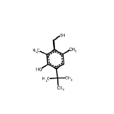 Cc1cc(C(C)(C)C)c(O)c(C)c1CS